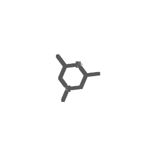 CC1CN(C)CC(C)[N]1